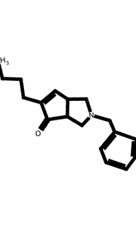 CCCCC1=CC2CN(Cc3ccccc3)CC2C1=O